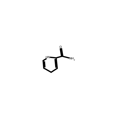 NC(=O)C1=CCC=CN1